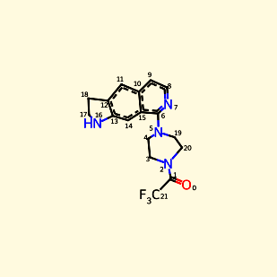 O=C(N1CCN(c2nccc3cc4c(cc23)NCC4)CC1)C(F)(F)F